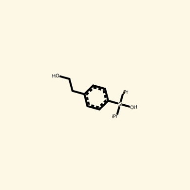 CC(C)[Si](O)(c1ccc(CCO)cc1)C(C)C